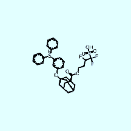 O=C(OCCC(F)C(F)(F)S(=O)(=O)O)C12CC3CC(CC(Oc4cccc([SH](c5ccccc5)c5ccccc5)c4)(C3)C1)C2